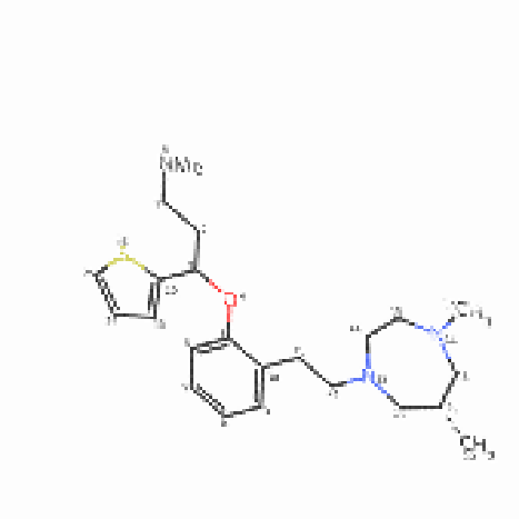 CNCCC(Oc1ccccc1CCN1CCN(C)C[C@H](C)C1)c1cccs1